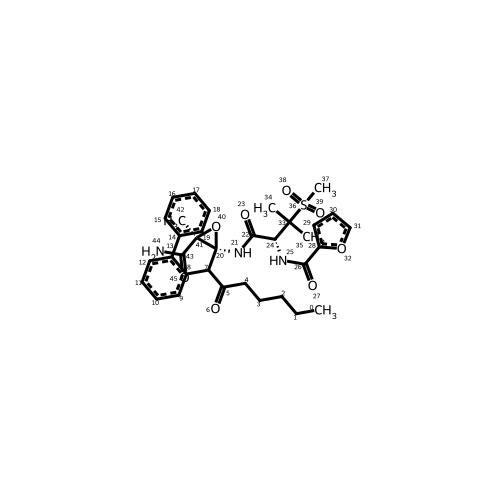 CCCCCC(=O)[C](c1ccccc1-c1ccccc1)[C@]1(NC(=O)[C@@H](NC(=O)c2ccco2)C(C)(C)S(C)(=O)=O)O[C@]1(C)C(N)=O